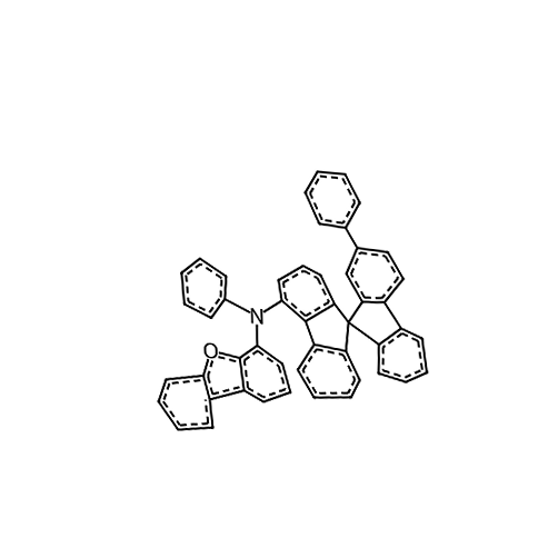 c1ccc(-c2ccc3c(c2)C2(c4ccccc4-3)c3ccccc3-c3c(N(c4ccccc4)c4cccc5c4oc4ccccc45)cccc32)cc1